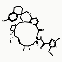 COc1nn(C)cc1C(=O)NS1(=O)=NC(=O)c2ccc3c(c2)N(C[C@@H]2CC[C@H]2[C@@H](OC)/C=C/[C@H](F)[C@H](C)C1)C[C@@]1(CCCc2cc(Cl)ccc21)CO3